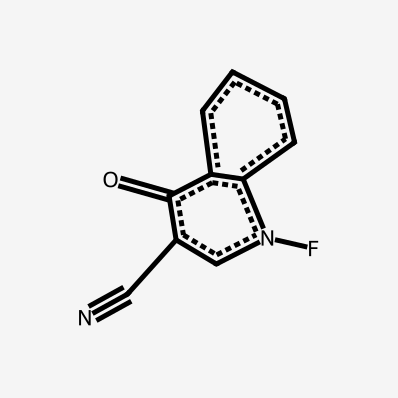 N#Cc1cn(F)c2ccccc2c1=O